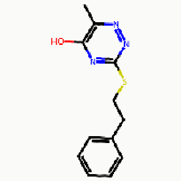 Cc1nnc(SCCc2ccccc2)nc1O